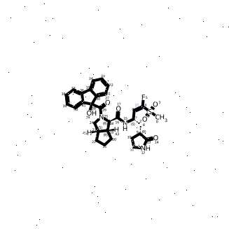 CS(=O)(=O)/C(F)=C\[C@H](C[C@H]1CCNC1=O)NC(=O)[C@H]1[C@@H]2CCC[C@@H]2CN1C(=O)C1(O)c2ccccc2-c2ccccc21